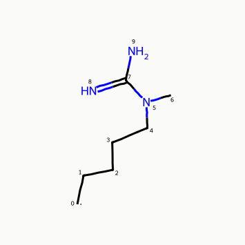 [CH2]CCCCN(C)C(=N)N